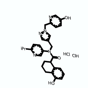 CC(C)c1ccc(N(Cc2cnn(Cc3ccc(O)cn3)c2)C(=O)C2CCCc3c(O)cccc32)cn1.Cl.Cl